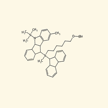 Cc1ccc2c(c1)C1C(C3C=CC=CC3C1[Si](C)(CCCCCCOC(C)(C)C)C1C3C=CC=CC3C3C=CC=CC31)N2[Si](C)(C)C